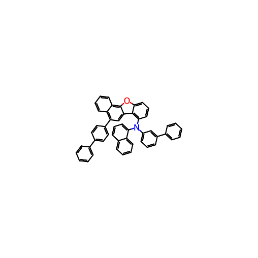 c1ccc(-c2ccc(-c3cc4c(oc5cccc(N(c6cccc(-c7ccccc7)c6)c6cccc7ccccc67)c54)c4ccccc34)cc2)cc1